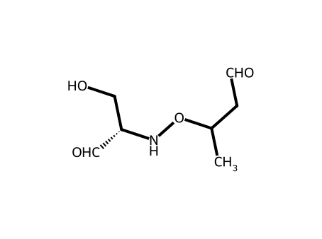 CC(CC=O)ON[C@H](C=O)CO